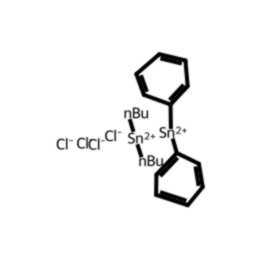 CCC[CH2][Sn+2][CH2]CCC.[Cl-].[Cl-].[Cl-].[Cl-].c1cc[c]([Sn+2][c]2ccccc2)cc1